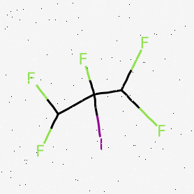 FC(F)C(F)(I)C(F)F